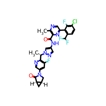 Cc1ncc(-c2c(C(F)F)ccc(Cl)c2F)nc1C(=O)Nc1cnn([C@@H](C)c2ncc(N3C[C@H]4C[C@H]4C3=O)cc2F)c1